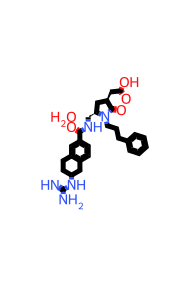 N=C(N)NC1CCc2cc(C(=O)NC[C@@H]3C[C@@H](CC(=O)O)C(=O)N3CCCc3ccccc3)ccc2C1.O